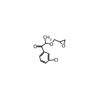 CC(OCC1CO1)C(=O)c1cccc(Cl)c1